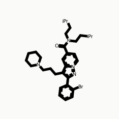 CC(C)CCN(CCC(C)C)C(=O)c1ccn2nc(-c3ccccc3Br)c(CCCN3CCCCC3)c2c1